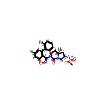 CS(=O)(=O)N[C@H]1C[C@H]2CCN(c3noc4cc(F)cc(-c5c(F)cccc5F)c34)C(=O)N2C1